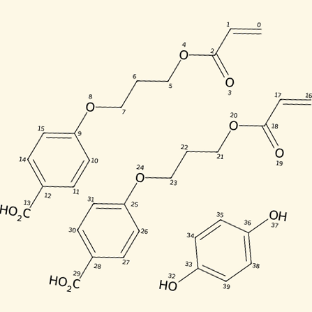 C=CC(=O)OCCCOc1ccc(C(=O)O)cc1.C=CC(=O)OCCCOc1ccc(C(=O)O)cc1.Oc1ccc(O)cc1